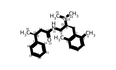 Cc1cccc(C)c1C[C@@H](CNC(=O)C[C@H](C)c1ccccc1)N(C)C